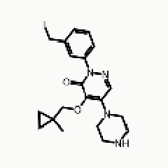 CC1(COc2c(N3CCNCC3)cnn(-c3cccc(CI)c3)c2=O)CC1